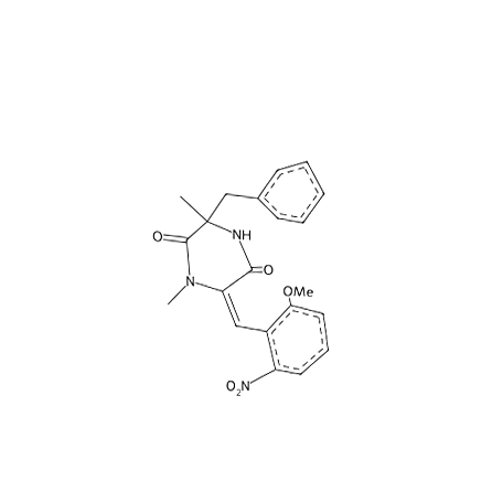 COc1cccc([N+](=O)[O-])c1/C=C1\C(=O)NC(C)(Cc2ccccc2)C(=O)N1C